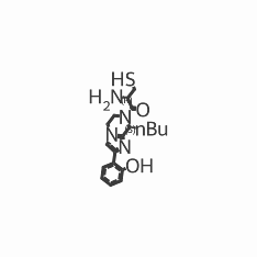 CCCC[C@H]1c2nc(-c3ccccc3O)cn2CCN1C(=O)[C@@H](N)CS